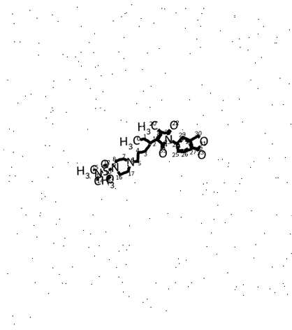 CCC(CCCN1CCN(S(=O)(=O)N(C)C)CC1)C1=C(C)C(=O)N(c2ccc3c(c2)COC3=O)C1=O